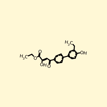 CCOC(=O)C(O)=CC(=O)c1ccc(-c2ccc(O)c(CC)c2)cc1